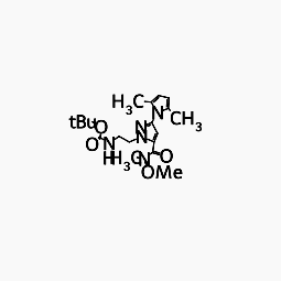 CON(C)C(=O)c1cc(-n2c(C)ccc2C)nn1CCNC(=O)OC(C)(C)C